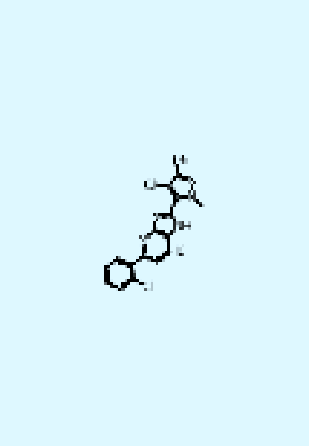 Cl.Cn1nc(C(C)(C)C)c(Cl)c1-c1nc2nc(-c3ccccc3Cl)ccc2[nH]1